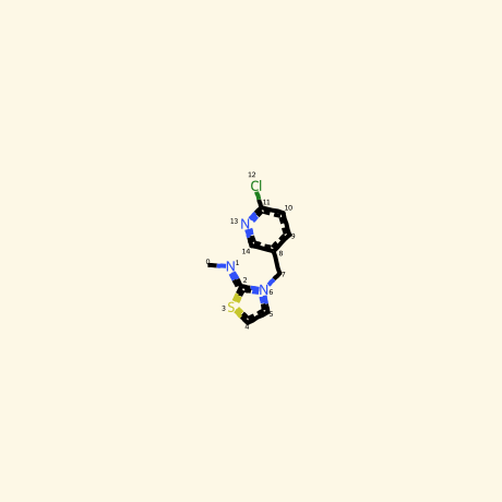 CN=c1sccn1Cc1ccc(Cl)nc1